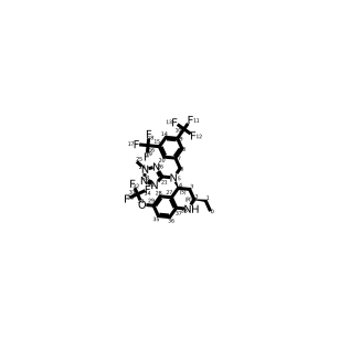 CC[C@@H]1C[C@H](N(Cc2cc(C(F)(F)F)cc(C(F)(F)F)c2)c2nnn(C)n2)c2cc(OC(F)(F)F)ccc2N1